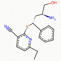 CCc1ccc(C#N)c(S[C@H](C[C@H](N)CO)c2ccccc2)n1